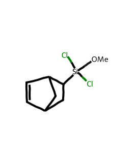 CO[Si](Cl)(Cl)C1CC2C=CC1C2